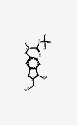 CN(Cc1ccc2c(c1)C[C@H](CO)[C@@H]2O)C(=O)OC(C)(C)C